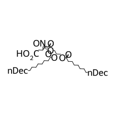 CCCCCCCCCCCCCCCCCC(=O)OCC(COC(=O)[C@@H](CCC(=O)O)N=O)OC(=O)CCCCCCCCCCCCCCCCC